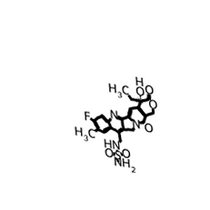 CC[C@@]1(O)C(=O)OCc2c1cc1n(c2=O)Cc2c-1nc1cc(F)c(C)cc1c2CNS(N)(=O)=O